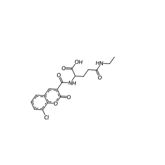 CCNC(=O)CCC(NC(=O)c1cc2cccc(Cl)c2oc1=O)C(=O)O